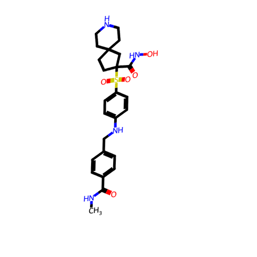 CNC(=O)c1ccc(CNc2ccc(S(=O)(=O)C3(C(=O)NO)CCC4(CCNCC4)C3)cc2)cc1